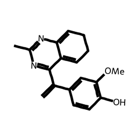 C=C(c1ccc(O)c(OC)c1)c1nc(C)nc2c1=CCCC=2